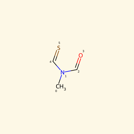 CN(C=O)C=S